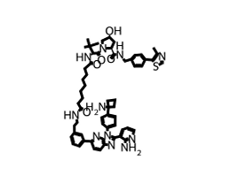 Cc1ncsc1-c1ccc(CNC(=O)[C@@H]2C[C@@H](O)CN2C(=O)[C@@H](NC(=O)CCCCCCCC(=O)NCCc2cccc(-c3ccc4nc(-c5cccnc5N)n(-c5ccc(C6(N)CCC6)cc5)c4n3)c2)C(C)(C)C)cc1